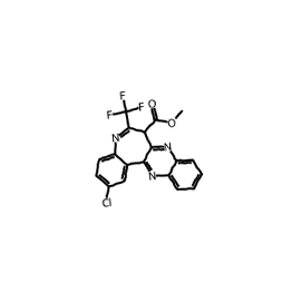 COC(=O)C1C(C(F)(F)F)=Nc2ccc(Cl)cc2-c2nc3ccccc3nc21